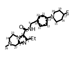 CCc1nc2n(c1C(=O)NCc1ccc(N3CCC(F)CC3)cc1)CCN(C)C2